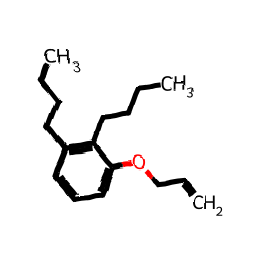 C=CCOc1cccc(CCCC)c1CCCC